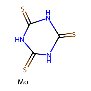 S=c1[nH]c(=S)[nH]c(=S)[nH]1.[Mo]